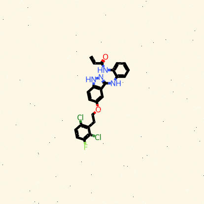 C=CC(=O)Nc1ccccc1Nc1n[nH]c2ccc(OCCc3c(Cl)ccc(F)c3Cl)cc12